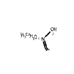 C=NO.O.[CaH2]